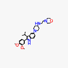 COc1ccc(-c2[nH]c3ccc(N4CCC(NCCN5CCOCC5)CC4)cc3c2C(C)C)cc1OC